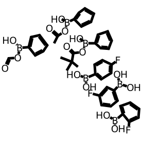 CC(=O)OB(O)c1ccccc1.CC(C)(C)C(=O)OB(O)c1ccccc1.O=COB(O)c1ccccc1.OB(O)c1ccc(F)cc1.OB(O)c1cccc(F)c1.OB(O)c1ccccc1F